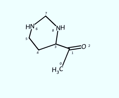 CC(=O)C1CCNCN1